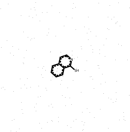 Sc1nccc2[c]cccc12